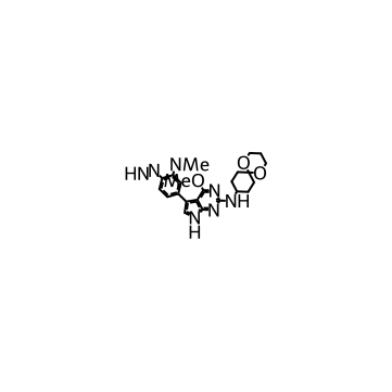 CNc1cc(-c2c[nH]c3nc(NC4CCC5(CC4)OCCCO5)nc(OC)c23)ccc1N=N